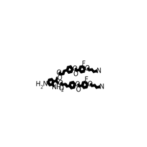 N#CCCCOc1ccc(C(=O)Oc2ccc(C=CC(=O)OCC(COC(=O)C=Cc3ccc(OC(=O)c4ccc(OCCCC#N)c(F)c4)cc3)c3ccc(N)cc3N)cc2)cc1F